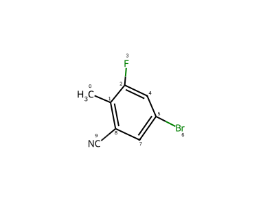 Cc1c(F)cc(Br)cc1C#N